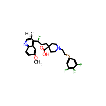 COc1ccc2ncc(C)c([C@@H](F)CCC3(C(=O)O)CCN(CCSc4cc(F)c(F)c(F)c4)CC3)c2c1